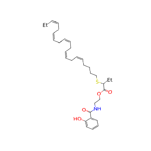 CC/C=C\C/C=C\C/C=C\C/C=C\C/C=C\CCCCSC(CC)C(=O)OCCNC(=O)c1ccccc1O